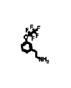 NCCc1cccc(OC(F)(F)C(F)(F)F)c1